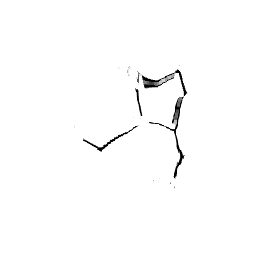 CNCc1ccnn1CC(F)(F)F